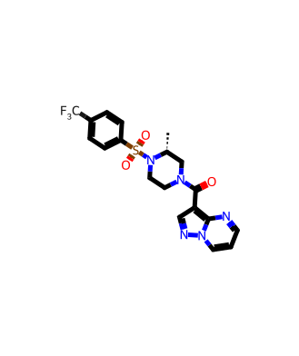 C[C@@H]1CN(C(=O)c2cnn3cccnc23)CCN1S(=O)(=O)c1ccc(C(F)(F)F)cc1